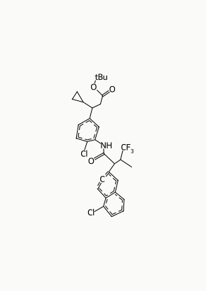 CC(C(C(=O)Nc1cc(C(CC(=O)OC(C)(C)C)C2CC2)ccc1Cl)c1ccc2c(Cl)cccc2c1)C(F)(F)F